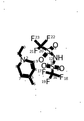 CCN1C=CC(C)=CC1.O=S(=O)(NS(=O)(=O)C(F)(F)F)C(F)(F)F